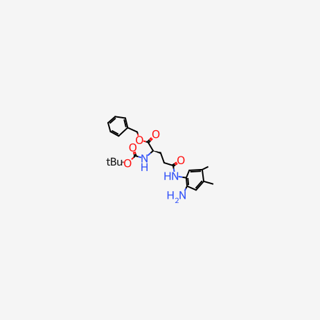 Cc1cc(N)c(NC(=O)CC[C@@H](NC(=O)OC(C)(C)C)C(=O)OCc2ccccc2)cc1C